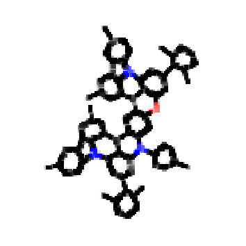 Cc1ccc(N2c3cc4c(cc3B3c5c2cc(-c2c(C)cccc2C)cc5-n2c5ccc(C)cc5c5cc(C)cc3c52)B2c3c(cc(-c5c(C)cccc5C)cc3-n3c5ccc(C)cc5c5cc(C)cc2c53)O4)cc1